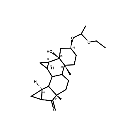 CCOC(C)O[C@H]1CC[C@]2(C)C3CC[C@]4(C)C(=O)C5C[C@H]5C4C3C3C[C@H]3[C@]2(O)C1